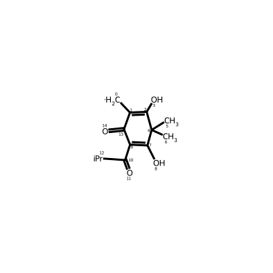 [CH2]C1=C(O)C(C)(C)C(O)=C(C(=O)C(C)C)C1=O